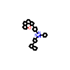 c1ccc(-c2nc(-c3ccc(-c4ccc5ccc6ccc7cccc8c7c6c5c4O8)cc3)nc(-c3ccc(-c4cccc5ccccc45)cc3)n2)cc1